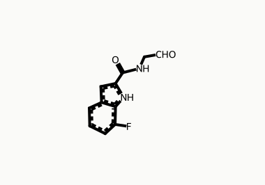 O=CCNC(=O)c1cc2cccc(F)c2[nH]1